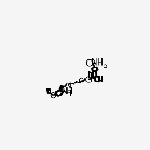 NC(=O)c1ccc2c(c1)nc(OCCOCCCCNCc1cc3cc(OC4CCC4)ccc3[nH]1)c1ccncc12